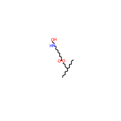 CCCCCC(CCCCC)CCCOC(=O)CCCCCCCNCCO